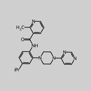 Cc1ncccc1C(=O)Nc1ccc(C(C)C)cc1N1CCN(c2ccncn2)CC1